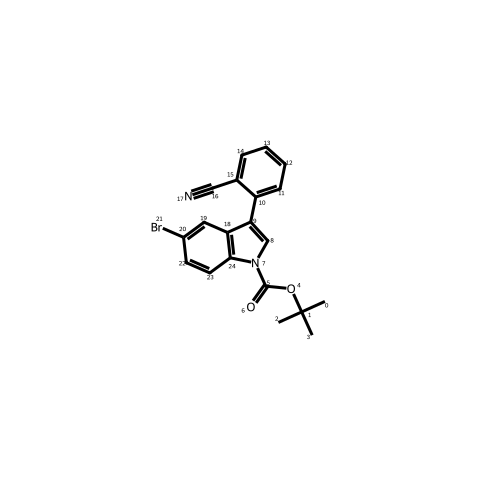 CC(C)(C)OC(=O)n1cc(-c2ccccc2C#N)c2cc(Br)ccc21